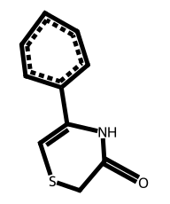 O=C1CSC=C(c2ccccc2)N1